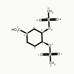 CS(=O)(=O)O[C@H]1CCN(C(=O)O)C[C@H]1OS(C)(=O)=O